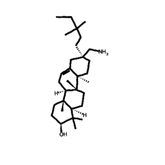 CCC(C)(C)CC[C@]1(CN)CC[C@]2(C)C(=CC[C@@H]3[C@@]4(C)CC[C@H](O)C(C)(C)[C@@H]4CC[C@]32C)C1